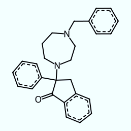 O=C1c2ccccc2CC1(c1ccccc1)N1CCCN(Cc2ccccc2)CC1